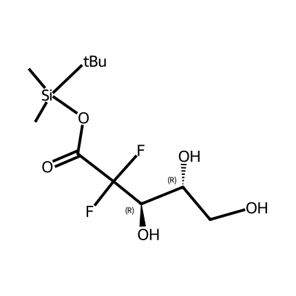 CC(C)(C)[Si](C)(C)OC(=O)C(F)(F)[C@H](O)[C@H](O)CO